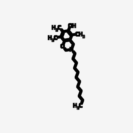 CCCCCCCCCCCCN1COc2c(C)c(C)c(O)c(C)c2C1